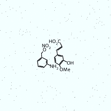 COc1ccc(C=CC(=O)O)cc1O.Nc1cccc(CO[N+](=O)[O-])c1